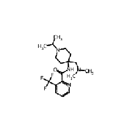 CC(C)N1CCC(CN(C)C)(NC(=O)c2ncccc2C(F)(F)F)CC1